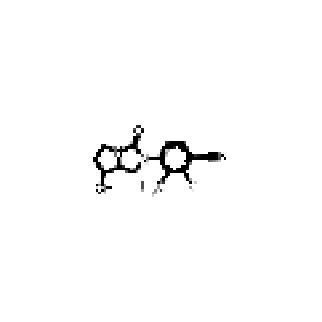 Cc1c(N2CC3C(O)CCN3C2=O)ccc(C#N)c1Cl